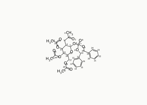 CC(=O)CC1C(OP(=O)(OCc2ccccc2)OCc2ccccc2)OC(COC(C)=O)C(OC(C)=O)C1OC(C)=O